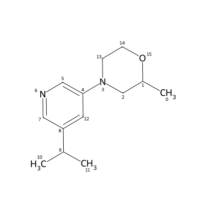 CC1CN(c2cncc(C(C)C)c2)CCO1